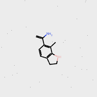 C=C(N)c1ccc2c(c1C)BCC2